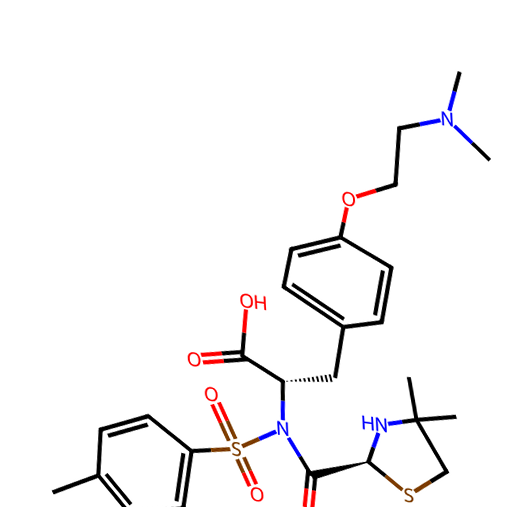 Cc1ccc(S(=O)(=O)N(C(=O)[C@H]2NC(C)(C)CS2)[C@@H](Cc2ccc(OCCN(C)C)cc2)C(=O)O)cc1